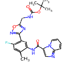 Cc1cc(F)c(-c2noc(CNC(=O)OC(C)(C)C)n2)cc1NC(=O)c1cnc2ccccn12